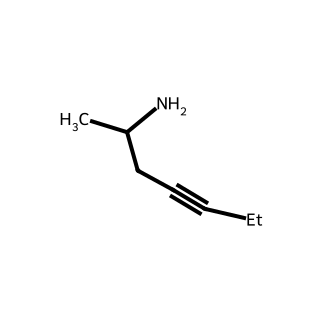 CCC#CCC(C)N